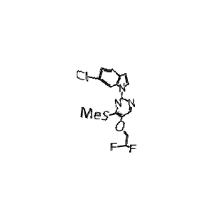 CSc1nc(-n2ccc3ccc(Cl)cc32)ncc1OCC(F)F